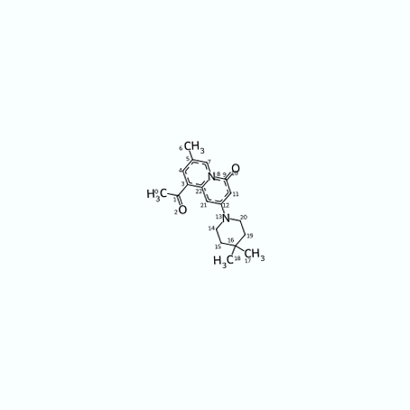 CC(=O)c1cc(C)cn2c(=O)cc(N3CCC(C)(C)CC3)cc12